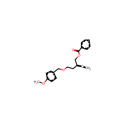 C=C=C(CCOCc1ccc(OC)cc1)COC(=O)c1ccccc1